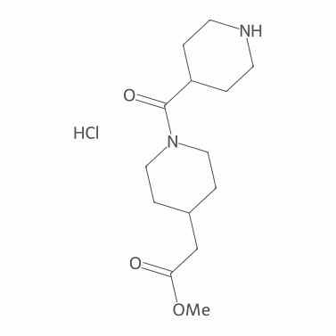 COC(=O)CC1CCN(C(=O)C2CCNCC2)CC1.Cl